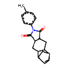 Cc1ccc(N2C(=O)C3CC4C5C=CC(C5)C4CC3C2=O)cc1